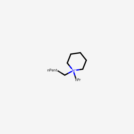 CCCCCC[N+]1(CCC)CCCCC1